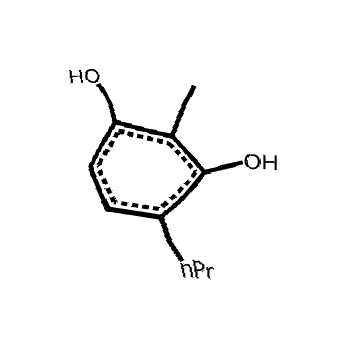 CCCc1ccc(O)c(C)c1O